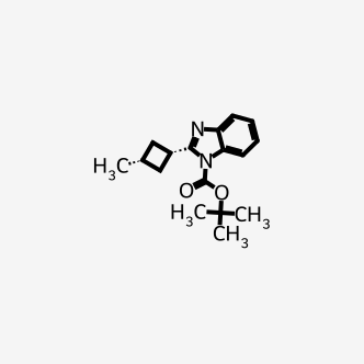 CC(C)(C)OC(=O)n1c2ccccc2nc1[C@H]1C[C@@H](C)C1